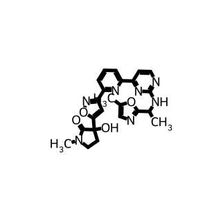 Cc1cnc(C(C)Nc2nccc(-c3cccc(-c4cc(C5(O)CCN(C)C5=O)on4)n3)n2)o1